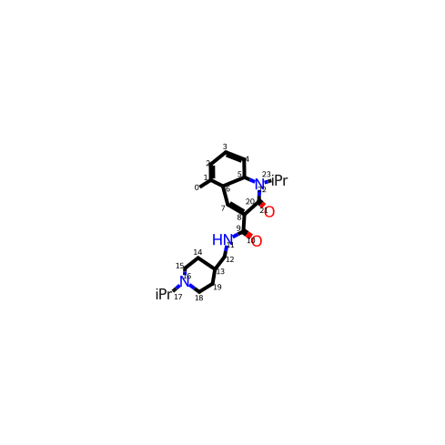 CC1=CC=CC2C1C=C(C(=O)NCC1CCN(C(C)C)CC1)C(=O)N2C(C)C